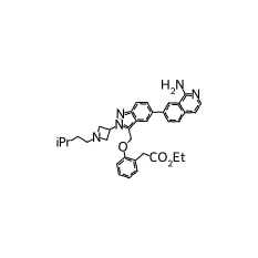 CCOC(=O)Cc1ccccc1OCc1c2cc(-c3ccc4ccnc(N)c4c3)ccc2nn1C1CN(CCC(C)C)C1